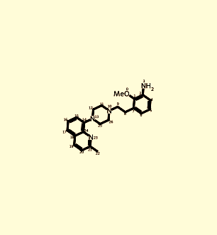 COc1c(N)cccc1CCN1CCN(c2cccc3ccc(C)nc23)CC1